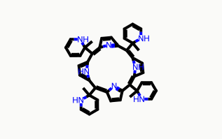 CC1(c2c3nc(c(C4(C)C=CC=CN4)c4ccc([nH]4)c(C4(C)C=CC=CN4)c4nc(c(C5(C)C=CC=CN5)c5ccc2[nH]5)C=C4)C=C3)C=CC=CN1